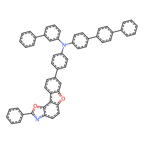 c1ccc(-c2ccc(-c3ccc(N(c4ccc(-c5ccc6c(c5)oc5ccc7nc(-c8ccccc8)oc7c56)cc4)c4cccc(-c5ccccc5)c4)cc3)cc2)cc1